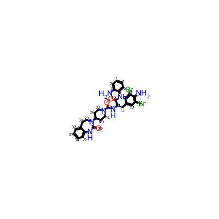 Nc1ccccc1NC(=O)[C@@H](Cc1cc(Br)c(N)c(Br)c1)NC(=O)N1CCC(N2CCc3ccccc3NC2=O)CC1